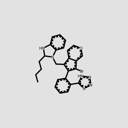 CCCCC1Nc2ccccc2N1Cc1c2ccocc-2c(Br)c1-c1ccccc1-c1nnn[nH]1